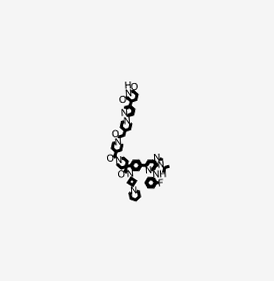 CC(C)n1cnc2cc(-c3ccc4c(c3)N([C@H]3C[C@@H](N5CCCCC5)C3)C(=O)C43CCN(C(=O)C4CCN(C(=O)CC5CCN(c6ccc(C7CCC(=O)NC7=O)cn6)CC5)CC4)CC3)nc(Nc3ccccc3F)c21